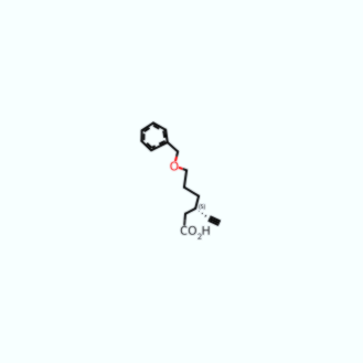 C#C[C@@H](CCCOCc1ccccc1)CC(=O)O